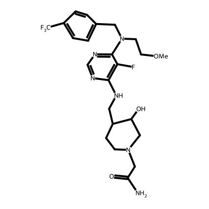 COCCN(Cc1ccc(C(F)(F)F)cc1)c1ncnc(NCC2CCN(CC(N)=O)CC2O)c1F